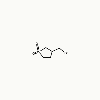 O=S1(=O)CCC(CBr)C1